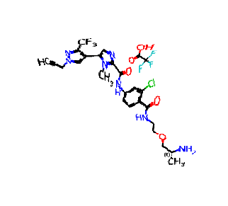 C#CCn1cc(-c2cnc(C(=O)Nc3ccc(C(=O)NCCOC[C@@H](C)N)c(Cl)c3)n2C)c(C(F)(F)F)n1.O=C(O)C(F)(F)F